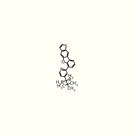 BC(B)(c1ccnc(-c2cccc3c2oc2cc4ccsc4cc23)c1)C(C)(C)C